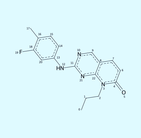 CCCn1c(=O)ccc2cnc(Nc3ccc(C)c(F)c3)nc21